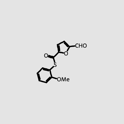 COc1ccccc1SC(=O)c1ccc(C=O)o1